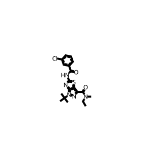 CCN(C)C(=O)c1nn(C(C)(C)C)c2nc(NC(=O)c3cccc(Cl)c3)sc12